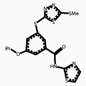 CSc1nnc(Sc2cc(OC(C)C)cc(C(=O)Nc3nccs3)c2)s1